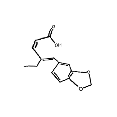 CCC(/C=C\C(=O)O)=C\c1ccc2c(c1)OCO2